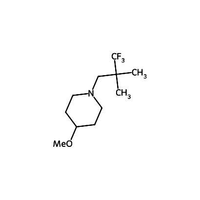 COC1CCN(CC(C)(C)C(F)(F)F)CC1